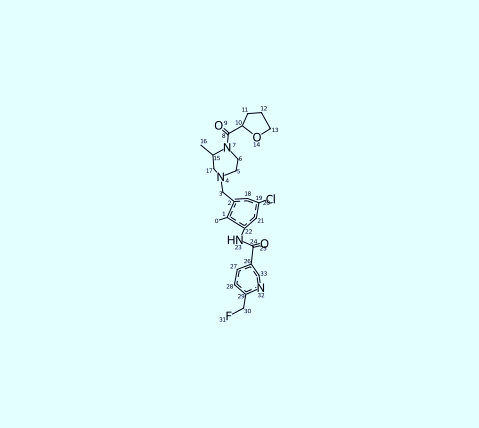 Cc1c(CN2CCN(C(=O)C3CCCO3)C(C)C2)cc(Cl)cc1NC(=O)c1ccc(CF)nc1